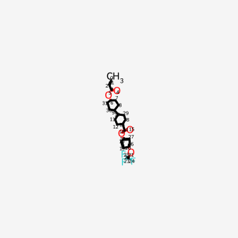 C/C=C/C(=O)OC1CCC(C2CCC(C(=O)Oc3ccc(OC(F)(F)F)cc3)CC2)CC1